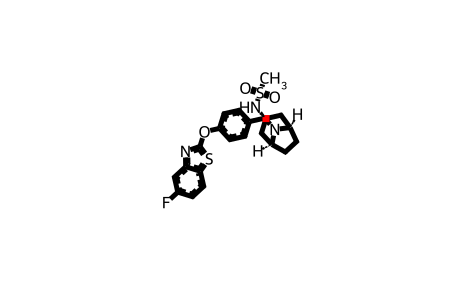 CS(=O)(=O)N[C@H]1C[C@H]2CC[C@@H](C1)N2Cc1ccc(Oc2nc3cc(F)ccc3s2)cc1